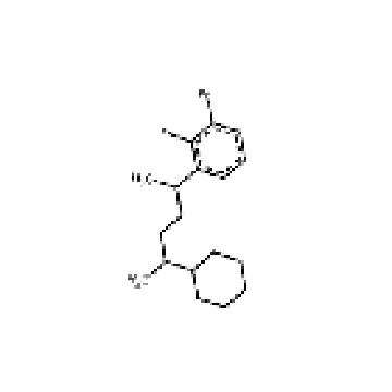 CCc1cccc(C(C)CCC(C)C2CCCCC2)c1F